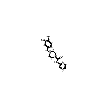 O=C(Nc1cnccn1)N1CCN(Cc2ccc(Cl)c(Cl)c2)CC1